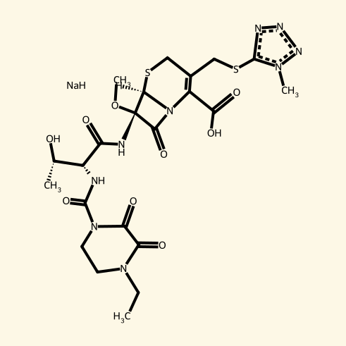 CCN1CCN(C(=O)N[C@@H](C(=O)N[C@]2(OC)C(=O)N3C(C(=O)O)=C(CSc4nnnn4C)CS[C@@H]32)[C@H](C)O)C(=O)C1=O.[NaH]